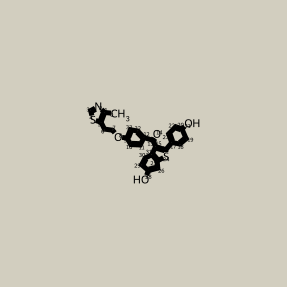 Cc1ncsc1CCOc1ccc(C(=O)c2c(-c3ccc(O)cc3)sc3cc(O)ccc23)cc1